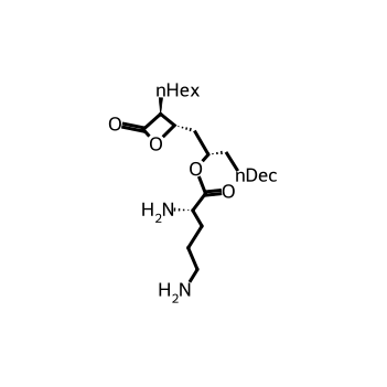 CCCCCCCCCCC[C@@H](C[C@@H]1OC(=O)[C@H]1CCCCCC)OC(=O)[C@@H](N)CCCN